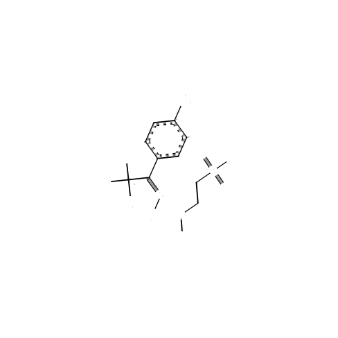 COCCS(=O)(=O)O.Cc1ccc(/C(=N/O)C(F)(F)F)cc1